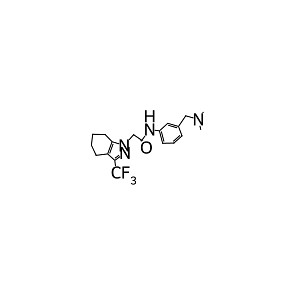 CN(C)Cc1cccc(NC(=O)Cn2nc(C(F)(F)F)c3c2CCCC3)c1